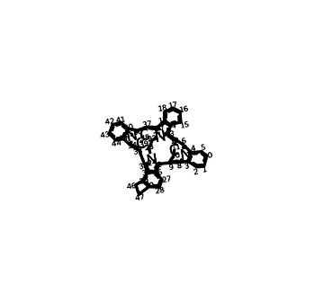 c1ccc2c(c1)C1=NC2=C2CCC1=c1c3ccccc3c3n1CCn1c2c2ccc4c(c2c1C1=C2N=C(C=3CC1)c1ccccc12)CC4